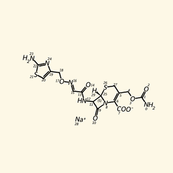 NC(=O)OCC1=C(C(=O)[O-])N2C(=O)C(NC(=O)C=NOCc3csc(N)n3)[C@@H]2SC1.[Na+]